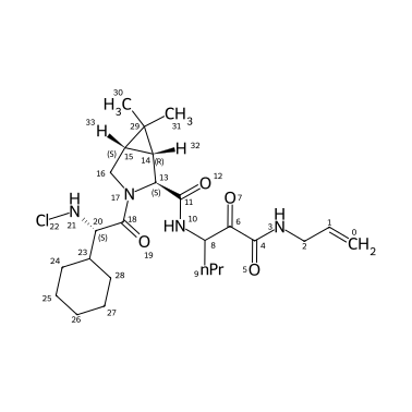 C=CCNC(=O)C(=O)C(CCC)NC(=O)[C@@H]1[C@@H]2[C@H](CN1C(=O)[C@@H](NCl)C1CCCCC1)C2(C)C